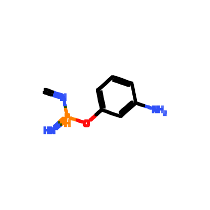 C=N[PH](=N)Oc1cccc(N)c1